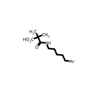 CC(=O)CCCCCNC(=O)C(C)(C)C(=O)O